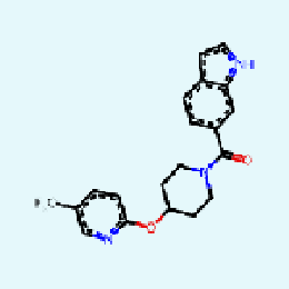 O=C(c1ccc2cc[nH]c2c1)N1CCC(Oc2ccc(C(F)(F)F)cn2)CC1